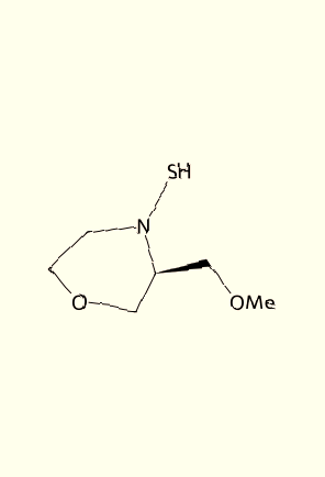 COC[C@H]1COCCN1S